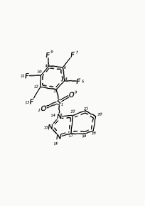 O=S(=O)(c1c(F)c(F)c(F)c(F)c1F)n1nnc2ccccc21